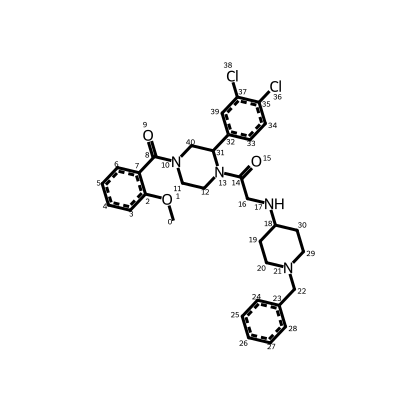 COc1ccccc1C(=O)N1CCN(C(=O)CNC2CCN(Cc3ccccc3)CC2)C(c2ccc(Cl)c(Cl)c2)C1